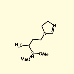 CO[SiH](OC)C(C)CCN1C=NCC1